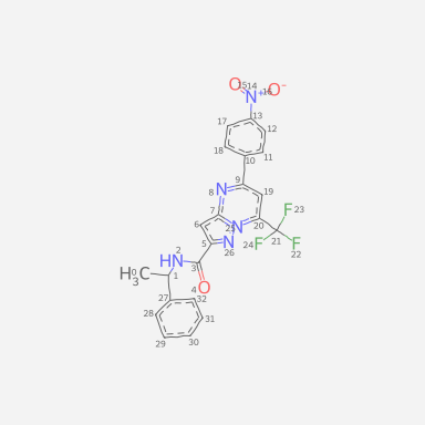 CC(NC(=O)c1cc2nc(-c3ccc([N+](=O)[O-])cc3)cc(C(F)(F)F)n2n1)c1ccccc1